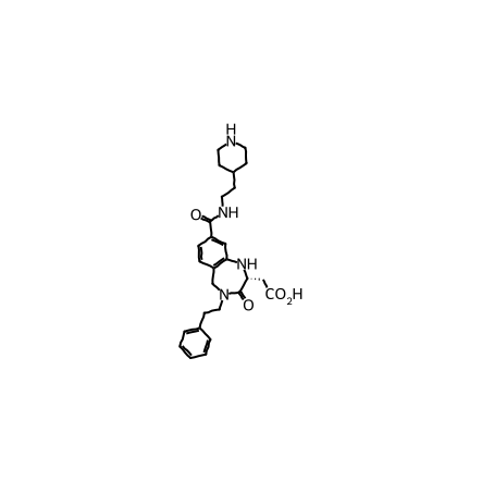 O=C(O)C[C@H]1Nc2cc(C(=O)NCCC3CCNCC3)ccc2CN(CCc2ccccc2)C1=O